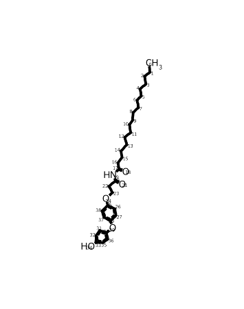 CCCCCCCCCCCCCCCCCC(=O)NC(=O)CCOc1ccc(Oc2ccc(O)cc2)cc1